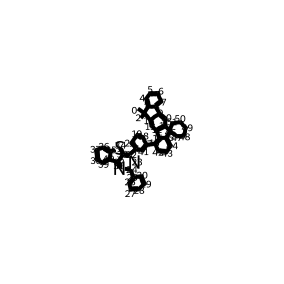 CC1(C)c2ccccc2-c2cc3c(cc21)-c1c(-c2cccc(-c4nc(-c5ccccc5)nc5c4sc4ccccc45)c2)cccc1C31CCCCC1